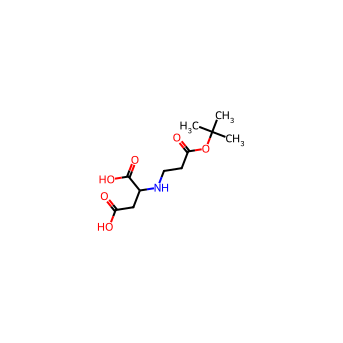 CC(C)(C)OC(=O)CCNC(CC(=O)O)C(=O)O